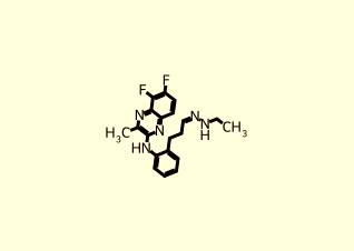 CCN/N=C\CCc1ccccc1Nc1nc2ccc(F)c(F)c2nc1C